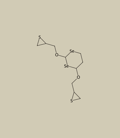 C1CC(OCC2CS2)[Se]C(OCC2CS2)[Se]1